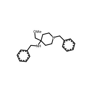 COCC1(NCc2ccccc2)CCN(Cc2ccccc2)CC1